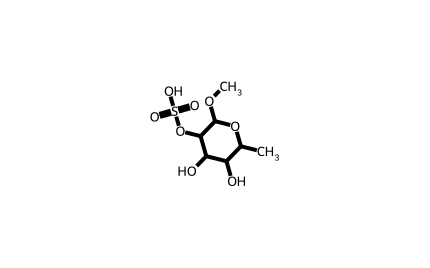 COC1OC(C)C(O)C(O)C1OS(=O)(=O)O